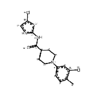 Cc1ccc(N2CCC(C(=O)Nc3ncc(Cl)s3)CC2)cc1Cl